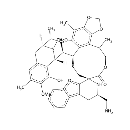 COc1c(C)cc2c(c1O)[C@H]1[C@H]([C@@H]3SC[C@]4(N[C@@H](CN)Cc5c4oc4ccccc54)C(=O)OCC(C)c4c5c(c(C)c(OC(C)=O)c43)OCO5)C[C@@H](C)[C@H](C2)N1C